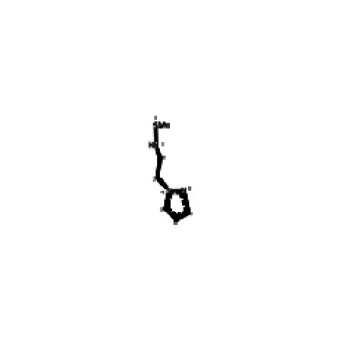 CSNCCn1cccn1